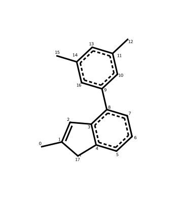 CC1=Cc2c(cccc2-c2cc(C)cc(C)c2)[CH]1